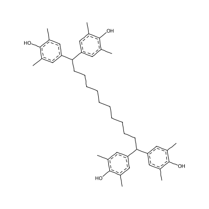 Cc1cc(C(CCCCCCCCCCC(c2cc(C)c(O)c(C)c2)c2cc(C)c(O)c(C)c2)c2cc(C)c(O)c(C)c2)cc(C)c1O